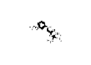 COc1cccc(NCC(=O)OC(C)(C)C)c1